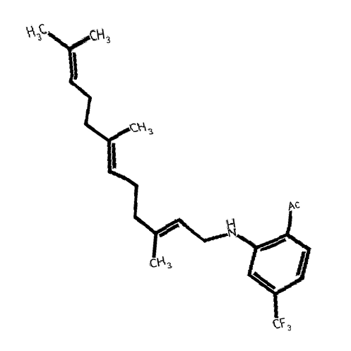 CC(=O)c1ccc(C(F)(F)F)cc1NC/C=C(\C)CC/C=C(\C)CCC=C(C)C